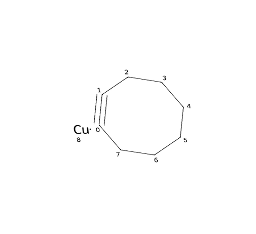 C1#CCCCCCC1.[Cu]